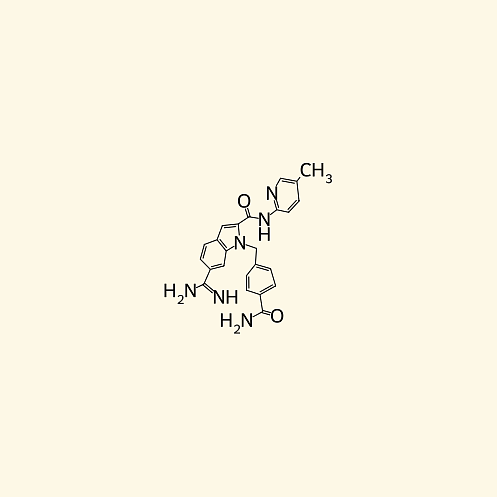 Cc1ccc(NC(=O)c2cc3ccc(C(=N)N)cc3n2Cc2ccc(C(N)=O)cc2)nc1